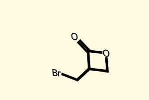 O=C1OCC1CBr